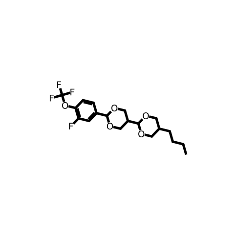 CCCCC1COC(C2COC(c3ccc(OC(F)(F)F)c(F)c3)OC2)OC1